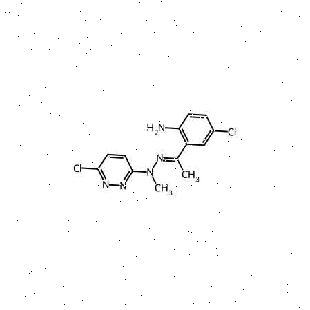 C/C(=N\N(C)c1ccc(Cl)nn1)c1cc(Cl)ccc1N